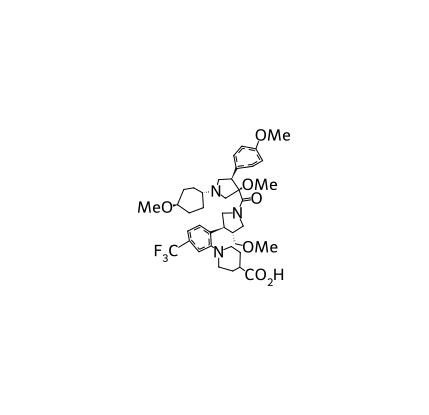 COC[C@H]1CN(C(=O)[C@]2(OC)CN([C@H]3CC[C@H](OC)CC3)C[C@H]2c2ccc(OC)cc2)C[C@@H]1c1ccc(C(F)(F)F)cc1N1CCC(C(=O)O)CC1